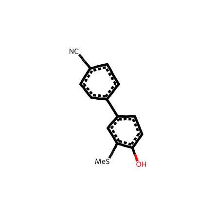 CSc1cc(-c2ccc(C#N)cc2)ccc1O